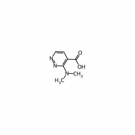 CN(C)c1nnccc1C(=O)O